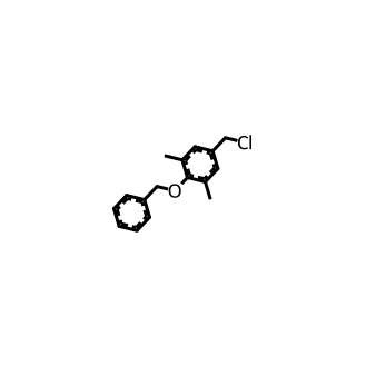 Cc1cc(CCl)cc(C)c1OCc1ccccc1